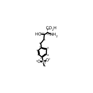 CS(=O)(=O)c1ccc(CCC(O)[C@@H](N)C(=O)O)cc1